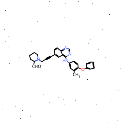 Cc1cc(Nc2ncnc3ccc(C#CCN4CCCCC4C=O)cc23)ccc1Oc1ccccc1